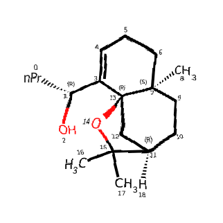 CCC[C@@H](O)C1=CCC[C@@]2(C)CC[C@@H]3C[C@]12OC3(C)C